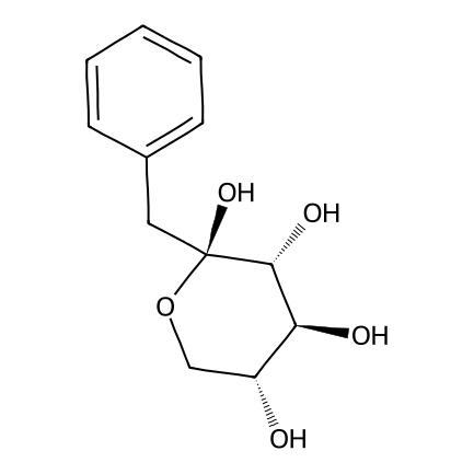 O[C@H]1[C@H](O)CO[C@](O)(Cc2ccccc2)[C@@H]1O